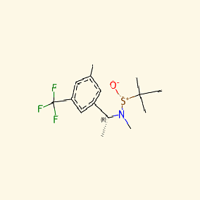 Cc1cc([C@@H](C)N(C)[S+]([O-])C(C)(C)C)cc(C(F)(F)F)c1